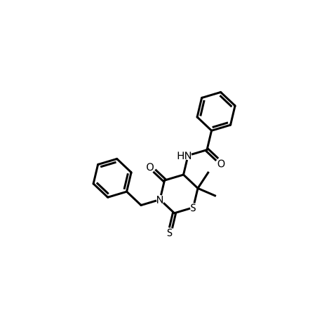 CC1(C)SC(=S)N(Cc2ccccc2)C(=O)C1NC(=O)c1ccccc1